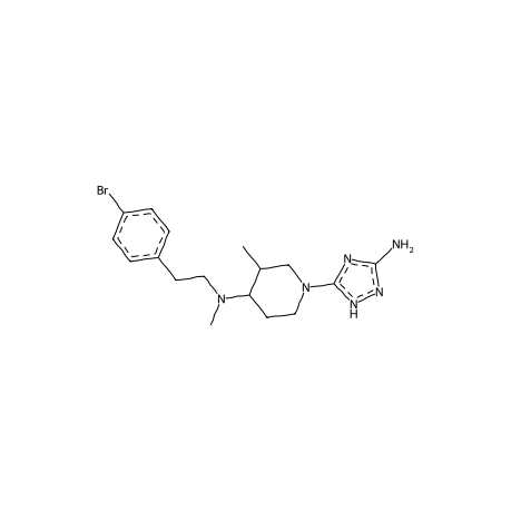 CC1CN(c2nc(N)n[nH]2)CCC1N(C)CCc1ccc(Br)cc1